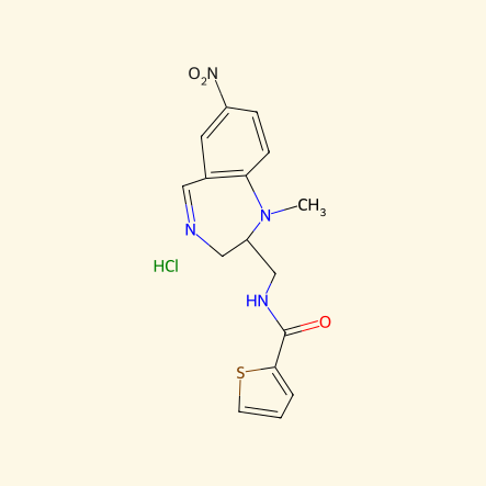 CN1c2ccc([N+](=O)[O-])cc2C=NCC1CNC(=O)c1cccs1.Cl